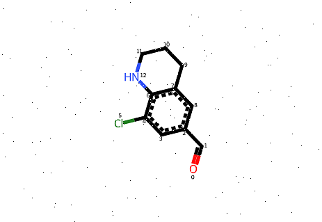 O=Cc1cc(Cl)c2c(c1)CCCN2